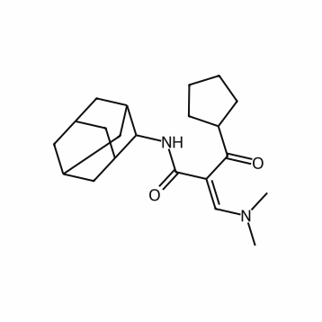 CN(C)C=C(C(=O)NC1C2CC3CC(C2)CC1C3)C(=O)C1CCCC1